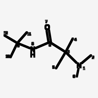 CN(C)C(C)(C)C(=O)NC(C)(C)C